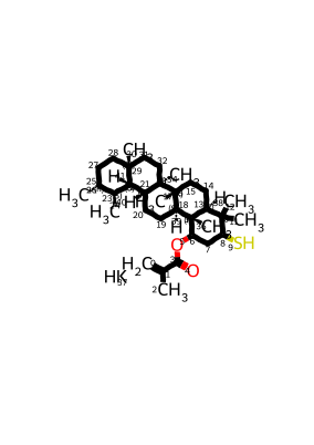 C=C(C)C(=O)OC1CC(S)C(C)(C)[C@@H]2CC[C@]3(C)[C@H](CC[C@@H]4[C@@H]5[C@@H](C)[C@H](C)CC[C@]5(C)CC[C@]43C)[C@@]12C.[KH]